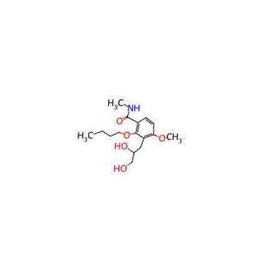 CCCCOc1c(C(=O)NC)ccc(OC)c1CC(O)CO